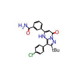 CC(C)(C)c1nn2c(=O)cc(-c3cccc(C(N)=O)c3)[nH]c2c1-c1ccc(Cl)cc1